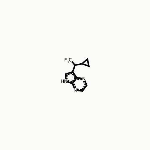 FC(F)(F)C(c1c[nH]c2nccnc12)C1CC1